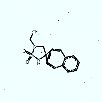 O=S1(=O)NC2(CN1CC(F)(F)F)C1=Cc3ccccc3C=C2C=C1